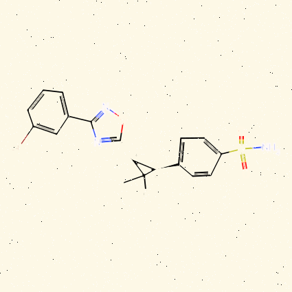 CC1(C)[C@H](c2ccc(S(N)(=O)=O)cc2)[C@H]1c1nc(-c2cccc(Br)c2)no1